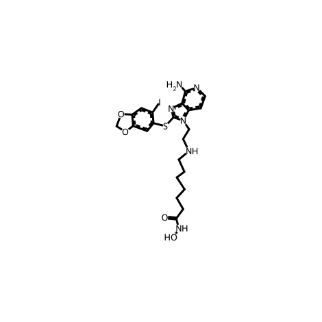 Nc1nccc2c1nc(Sc1cc3c(cc1I)OCO3)n2CCNCCCCCCC(=O)NO